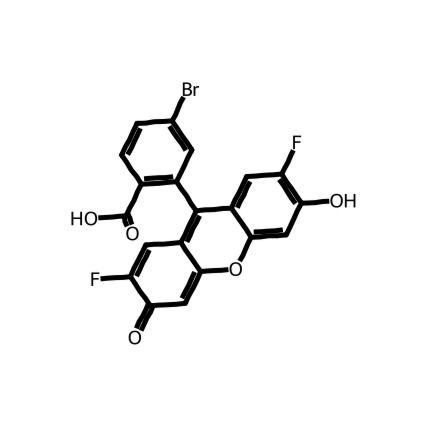 O=C(O)c1ccc(Br)cc1-c1c2cc(F)c(=O)cc-2oc2cc(O)c(F)cc12